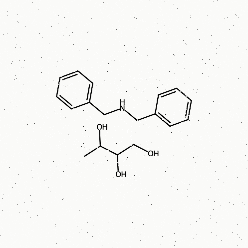 CC(O)C(O)CO.c1ccc(CNCc2ccccc2)cc1